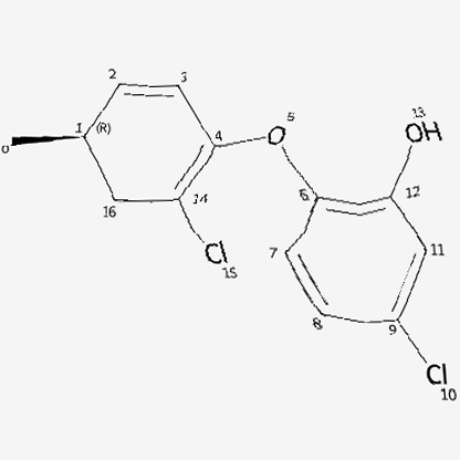 C[C@H]1C=CC(Oc2ccc(Cl)cc2O)=C(Cl)C1